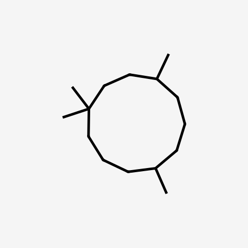 CC1CCCC(C)CCC(C)(C)CCC1